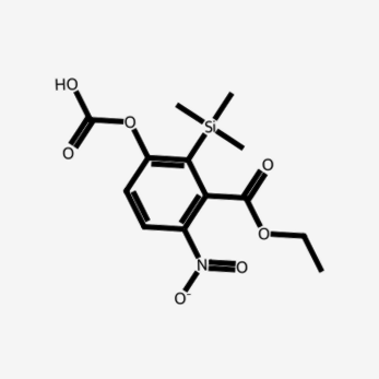 CCOC(=O)c1c([N+](=O)[O-])ccc(OC(=O)O)c1[Si](C)(C)C